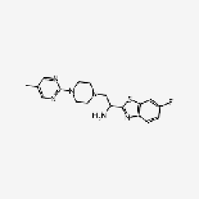 Cc1cnc(N2CCN(CC(N)c3nc4ccc(F)cc4s3)CC2)nc1